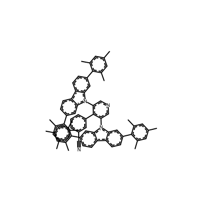 Cc1cc(C)c(-c2ccc3c4ccc(-c5c(C)cc(C)cc5C)cc4n(-c4cncc(-n5c6cc(-c7c(C)cc(C)cc7C)ccc6c6ccc(-c7c(C)cc(C)cc7C)cc65)c4-c4cccc(C#N)c4)c3c2)c(C)c1